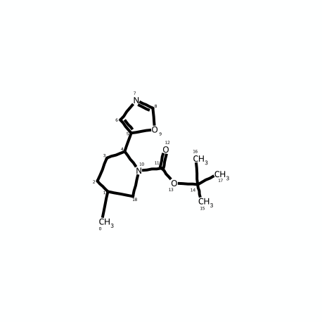 CC1CCC(c2cnco2)N(C(=O)OC(C)(C)C)C1